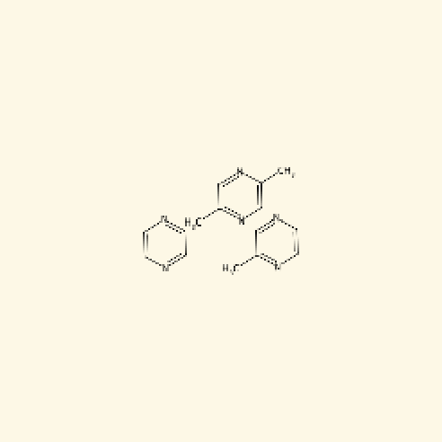 Cc1cnc(C)cn1.Cc1cnccn1.c1cnccn1